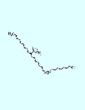 CCCCCCCCCC(CCCCCCC[C@@H]1C[C@H]1CCCCCCCC)N(C)C